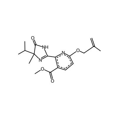 C=C(C)COc1ccc(C(=O)OC)c(C2=NC(C)(C(C)C)C(=O)N2)n1